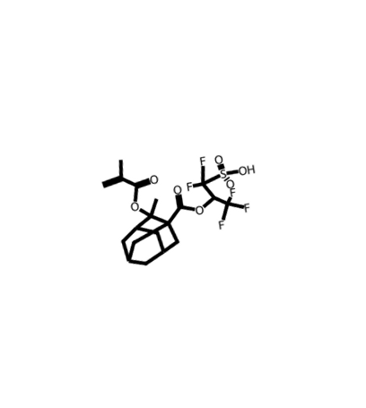 C=C(C)C(=O)OC1(C)C2CC3CC(C2)CC1(C(=O)OC(C(F)(F)F)C(F)(F)S(=O)(=O)O)C3